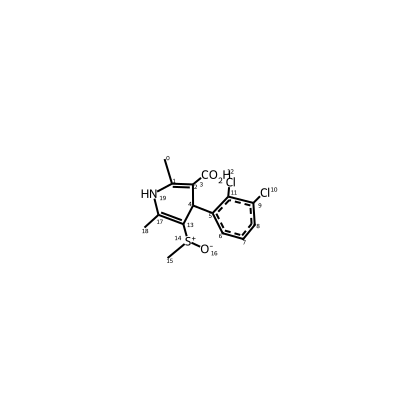 CC1=C(C(=O)O)C(c2cccc(Cl)c2Cl)C([S+](C)[O-])=C(C)N1